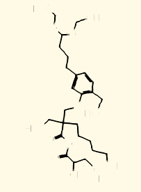 CCCCCCC(CC)(CSc1cc(CCCC(OCC)OCC)ccc1CO)C(=O)OC(=O)C(C)CC